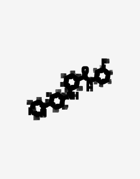 O=C(Nc1cccc(F)c1)c1cccc(Nc2ccc(-c3ccncn3)cc2)c1